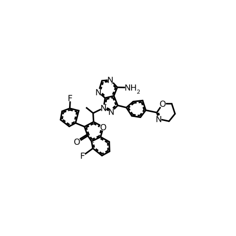 CC(c1oc2cccc(F)c2c(=O)c1-c1cccc(F)c1)n1nc(-c2ccc(C3=NCCCO3)cc2)c2c(N)ncnc21